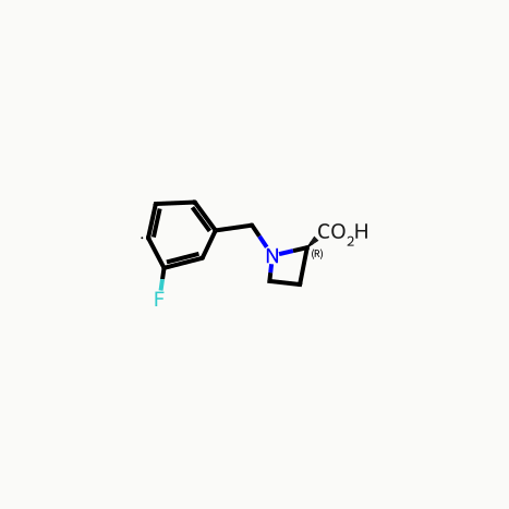 O=C(O)[C@H]1CCN1Cc1cc[c]c(F)c1